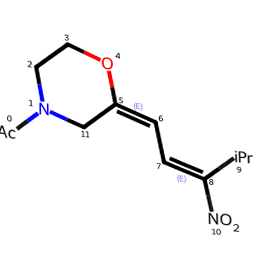 CC(=O)N1CCO/C(=C/C=C(\C(C)C)[N+](=O)[O-])C1